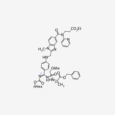 CCCCCCOC(=O)/N=C(\NP(=O)(COC)N[C@H](C)C(=O)OCc1ccccc1)c1ccc(NCc2nc3cc(C(=O)N(CCC(=O)OCC)c4ccccn4)ccc3n2C)cc1